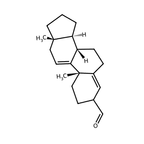 C[C@]12CCC(C=O)C=C1CC[C@@H]1C2=CC[C@]2(C)CCC[C@@H]12